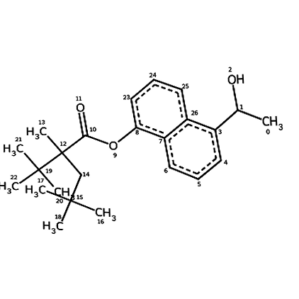 CC(O)c1cccc2c(OC(=O)C(C)(CC(C)(C)C)C(C)(C)C)cccc12